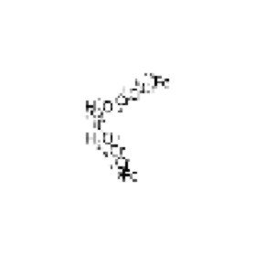 O.O.[C].[C].[Cr].[Cr].[Cr].[Cr].[Cr].[Fe].[Fe]